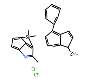 CC1=NC2=CC=C3C2=C1[Si]3(C)C.[Cl-].[Cl-].[Zr+2][CH]1C=Cc2c(-c3ccccc3)cccc21